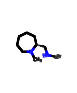 CCCNC[C@H]1CCCCCN1C